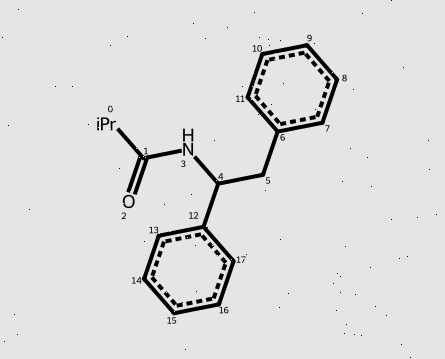 CC(C)C(=O)NC(Cc1ccccc1)c1ccccc1